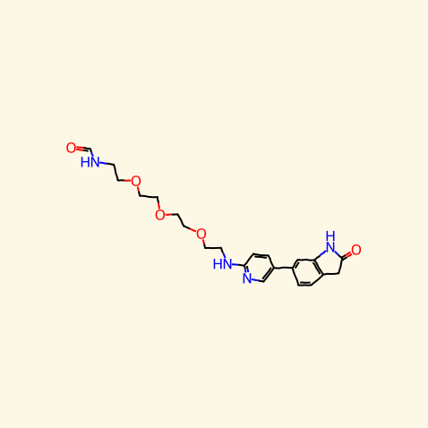 O=CNCCOCCOCCOCCNc1ccc(-c2ccc3c(c2)NC(=O)C3)cn1